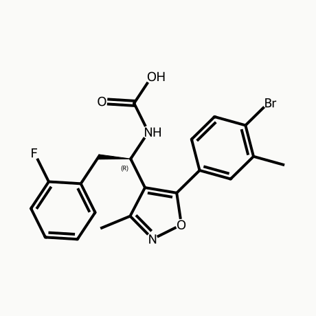 Cc1cc(-c2onc(C)c2[C@@H](Cc2ccccc2F)NC(=O)O)ccc1Br